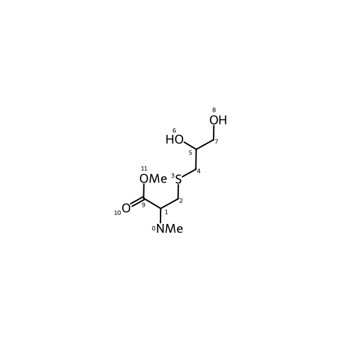 CNC(CSCC(O)CO)C(=O)OC